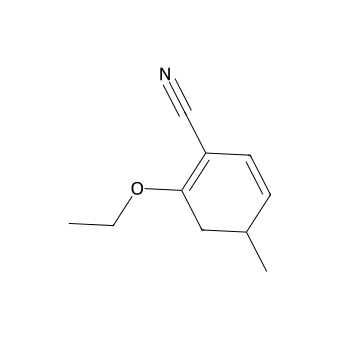 CCOC1=C(C#N)C=CC(C)C1